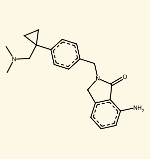 CN(C)CC1(c2ccc(CN3Cc4cccc(N)c4C3=O)cc2)CC1